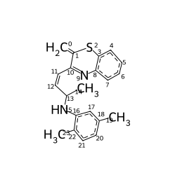 C=C1Sc2ccccc2N=C1/C=C\C(C)Nc1cc(C)ccc1C